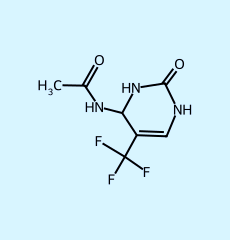 CC(=O)NC1NC(=O)NC=C1C(F)(F)F